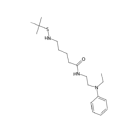 CCN(CCNC(=O)CCCCNSC(C)(C)C)c1ccccc1